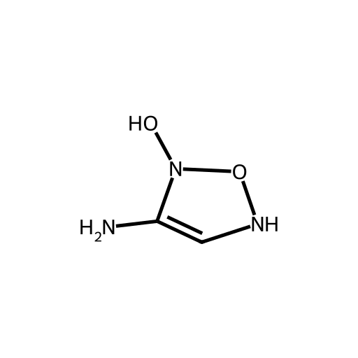 NC1=CNON1O